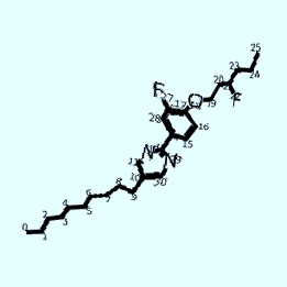 CCCCCCCCCCc1cnc(-c2ccc(OCCC(F)CCC)c(F)c2)nc1